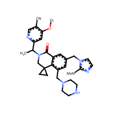 CCOc1cc(C(C)N2CC3(CC3)c3c(CN4CCNCC4)cc(Cn4ccnc4NC)cc3C2=O)ncc1C#N